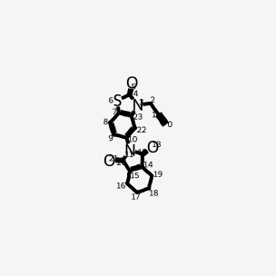 C#CCn1c(=O)sc2ccc(N3C(=O)C4=C(CCCC4)C3=O)cc21